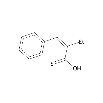 CCC(=Cc1ccccc1)C(O)=S